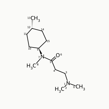 CN(C)CCC(=O)N(C)[C@H]1CC[C@H](C)CC1